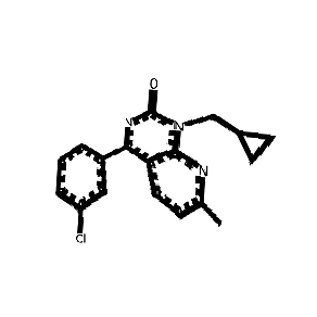 Cc1ccc2c(-c3cccc(Cl)c3)nc(=O)n(CC3CC3)c2n1